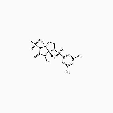 CCC[C@H]1C(=O)N(S(C)(=O)=O)[C@H]2CCN(S(=O)(=O)c3cc(C(F)(F)F)cc(C(F)(F)F)c3)[C@H]12